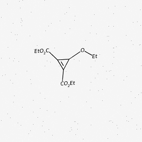 CCOC(=O)C1=C(C(=O)OCC)C1OCC